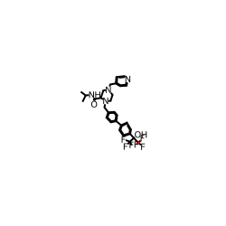 CC(C)NC(=O)C1CN(Cc2ccncc2)CCN1Cc1ccc(-c2ccc(C(O)(C(F)(F)F)C(F)(F)F)cc2)cc1